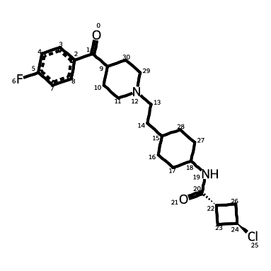 O=C(c1ccc(F)cc1)C1CCN(CCC2CCC(NC(=O)[C@H]3C[C@H](Cl)C3)CC2)CC1